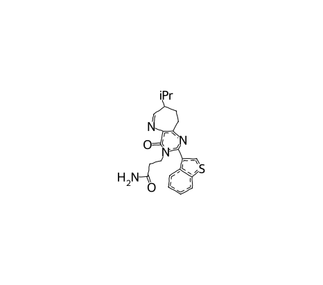 CC(C)C1C=Nc2c(nc(-c3csc4ccccc34)n(CCC(N)=O)c2=O)CC1